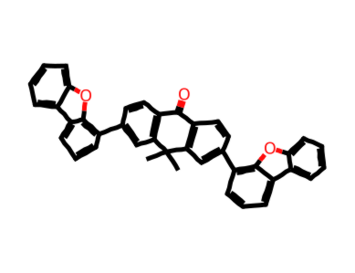 CC1(C)c2cc(-c3cccc4c3oc3ccccc34)ccc2C(=O)c2ccc(-c3cccc4c3oc3ccccc34)cc21